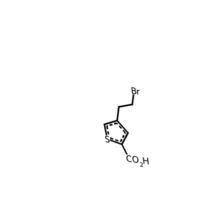 O=C(O)c1cc(CCBr)cs1